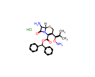 CC(C)=C(ON)C1=C(C(=O)OC(c2ccccc2)c2ccccc2)N2C(=O)C(N)[C@@H]2SC1.Cl